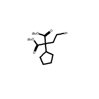 CC(C)CCC(C(=O)OCC(C)C)(C(=O)OCC(C)C)C1CCCC1